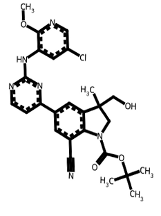 COc1ncc(Cl)cc1Nc1nccc(-c2cc(C#N)c3c(c2)C(C)(CO)CN3C(=O)OC(C)(C)C)n1